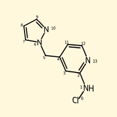 ClNc1cc(Cn2cccn2)ccn1